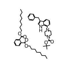 CC(C)(C)OC(=O)N1CCN(c2cccc3c(Cc4ccccc4)c[nH]c23)CC1.CCCCCCCCOC(=O)c1ccccc1C(=O)OCCCCCCCC